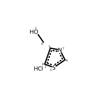 CO.Cl.c1cscn1